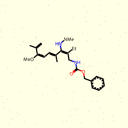 C=C(C)\C(=C/C=C(C)/C(NNC)=C(/CC)CNC(=O)OCc1ccccc1)OC